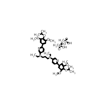 CCN(CCCN(CC)c1ccc(-c2cc(OC)c(OC(C)C)c(OC)c2)nc1)c1ccc(-c2cc(OC)c(OC(C)C)c(OC)c2)nc1.CS(=O)(=O)O.CS(=O)(=O)O